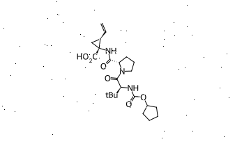 C=C[C@@H]1C[C@]1(NC(=O)[C@@H]1CCCN1C(=O)[C@@H](NC(=O)OC1CCCC1)C(C)(C)C)C(=O)O